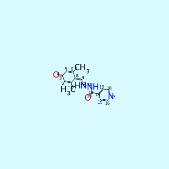 CC1=CC(=O)C=C(C)C1=CNNC(=O)c1ccncc1